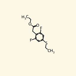 CCOC(=O)Cc1c(F)cc(SCC)cc1F